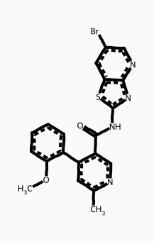 COc1ccccc1-c1cc(C)ncc1C(=O)Nc1nc2ncc(Br)cc2s1